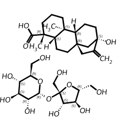 C=C1C[C@@]23CC[C@H]4[C@@](C)(CCC[C@@]4(C)C(=O)O)[C@@H]2CC[C@]1(O)C3.OC[C@H]1O[C@@](CO)(O[C@H]2O[C@H](CO)[C@@H](O)[C@H](O)[C@H]2O)[C@@H](O)[C@@H]1O